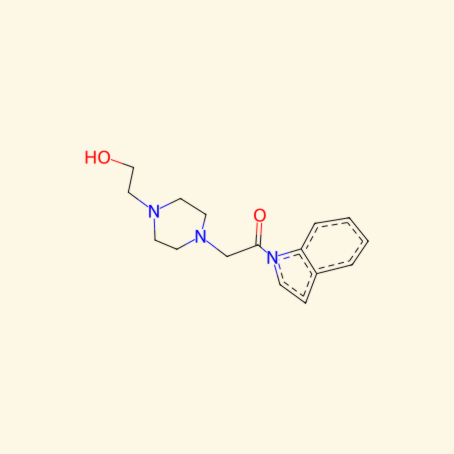 O=C(CN1CCN(CCO)CC1)n1ccc2ccccc21